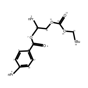 CCCc1ccc(C(=O)OC(CCC)COC(=O)OCC(C)(C)C)cc1